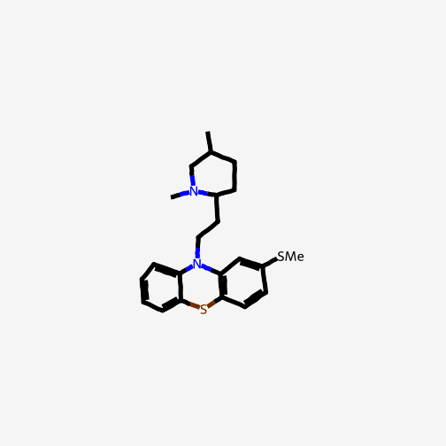 CSc1ccc2c(c1)N(CCC1CCC(C)CN1C)c1ccccc1S2